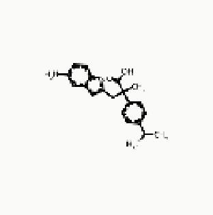 CC(C)c1ccc(C(C)(Cc2cc3cc(N)ccc3s2)C(=O)O)cc1